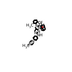 Cc1cccc(C(F)(F)F)c1N1Cc2cnc(Nc3ccc(N4CCN(C)CC4)cc3)nc2N(C23CC4CC(CC(C4)C2)C3)C1=O